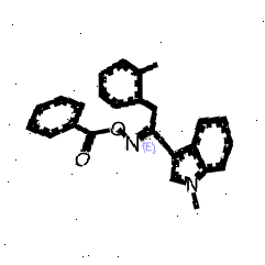 Cc1ccccc1C/C(=N\OC(=O)c1ccccc1)c1cn(C)c2ccccc12